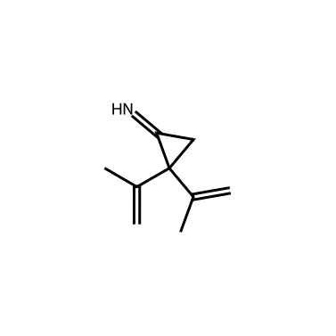 C=C(C)C1(C(=C)C)CC1=N